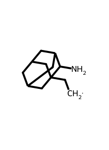 [CH2]CC12CC3CC(CC(C3)C1N)C2